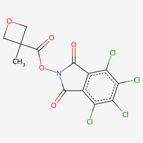 CC1(C(=O)ON2C(=O)c3c(Cl)c(Cl)c(Cl)c(Cl)c3C2=O)COC1